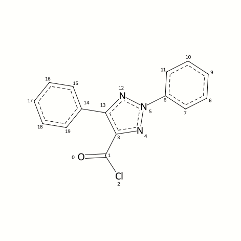 O=C(Cl)c1nn(-c2ccccc2)nc1-c1ccccc1